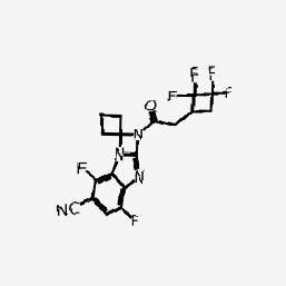 N#Cc1cc(F)c2nc3n(c2c1F)C1(CCC1)N3C(=O)CC1CC(F)(F)C1(F)F